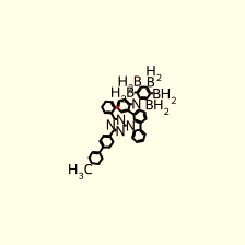 Bc1c(B)c(B)c(-n2c3ccccc3c3c2ccc2c4ccccc4n(-c4nc(C5=CCCC=C5)nc(C5=CC=C(C6=CCC(C)CC6)CC5)n4)c23)c(B)c1B